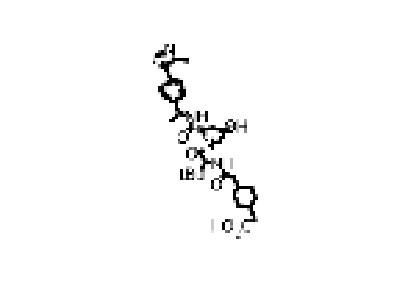 Cc1ncsc1-c1ccc(C(C)NC(=O)[C@@H]2C[C@@H](O)CN2C(=O)C(NC(=O)CC2CCC(CC(=O)O)CC2)C(C)(C)C)cc1